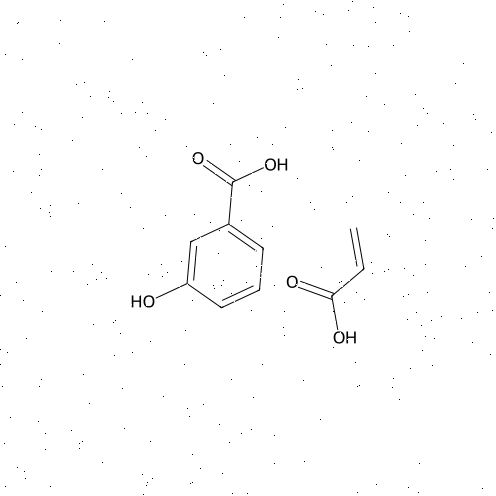 C=CC(=O)O.O=C(O)c1cccc(O)c1